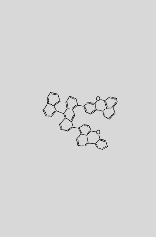 c1ccc2c(c1)Oc1ccc(-c3cccc4c(-c5cccc6ccccc56)c5cccc(-c6ccc7c(c6)Oc6cccc8cccc-7c68)c5cc34)c3cccc-2c13